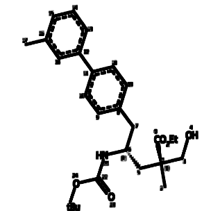 CCOC(=O)[C@](C)(CO)C[C@@H](Cc1ccc(-c2cccc(C)c2)cc1)NC(=O)OC(C)(C)C